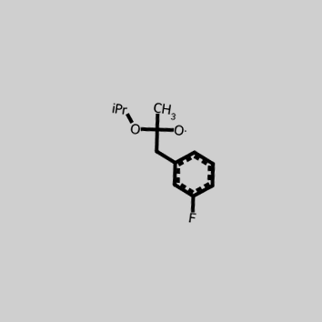 CC(C)OC(C)([O])Cc1cccc(F)c1